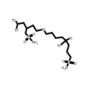 CCC(CC)CC(CCOCCCCC(CC)(CC)CCCS(N)(=O)=O)CS(N)(=O)=O